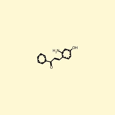 Nc1cc(O)ccc1C=CC(=O)c1ccccc1